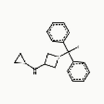 IC(c1ccccc1)(c1ccccc1)N1CC(NC2CC2)C1